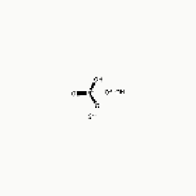 Cl.O=[N+]([O-])O.[O-2].[S-2]